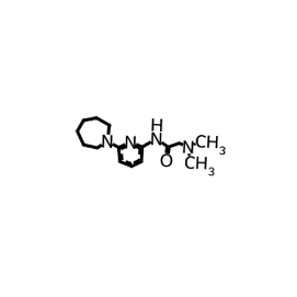 CN(C)CC(=O)Nc1cccc(N2CCCCCC2)n1